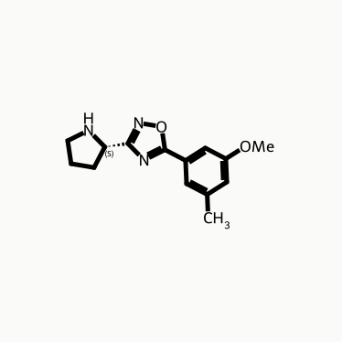 COc1cc(C)cc(-c2nc([C@@H]3CCCN3)no2)c1